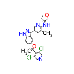 Cc1cc(-c2n[nH]c3ccc(O[C@H](C)c4c(Cl)cncc4Cl)cc23)cnc1N[C@H]1CCOC1